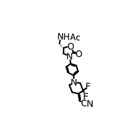 CC(=O)NC[C@H]1CN(c2ccc(N3CC/C(=C/C#N)C(F)(F)C3)cc2)C(=O)O1